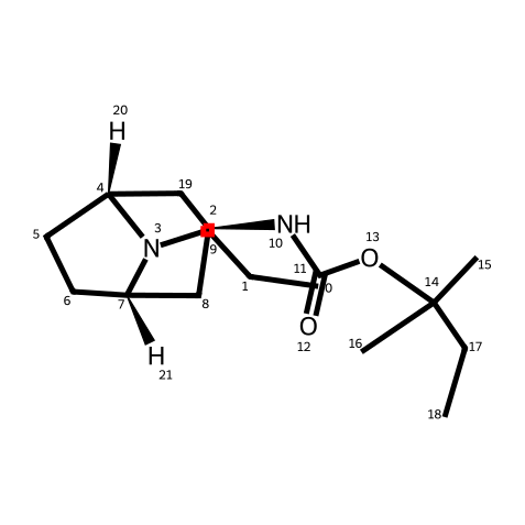 CCCN1[C@@H]2CC[C@H]1C[C@H](NC(=O)OC(C)(C)CC)C2